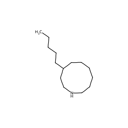 CCCCCC1CCCCCCNCC1